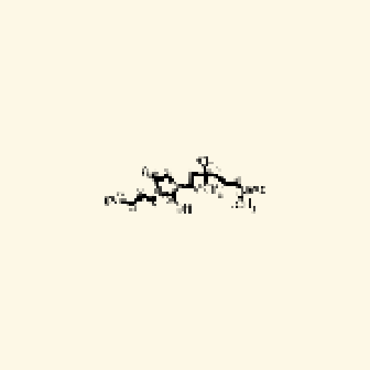 CC(=O)N(C)CCCC(C)(C)CCN1CC(=O)N(CCCC(C)(C)C)C1O